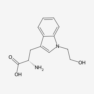 N[C@@H](Cc1cn(CCO)c2ccccc12)C(=O)O